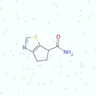 NC(=O)C1CCc2ncsc21